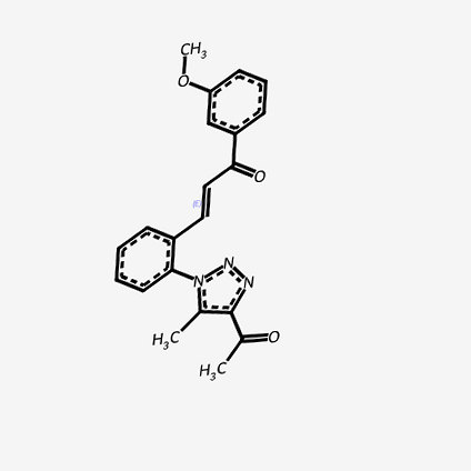 COc1cccc(C(=O)/C=C/c2ccccc2-n2nnc(C(C)=O)c2C)c1